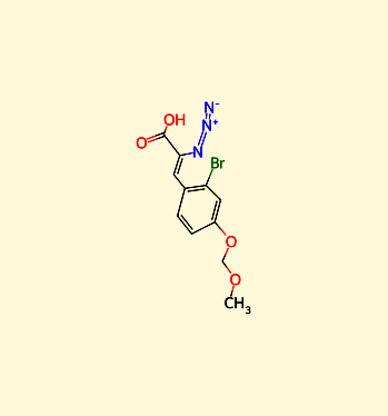 COCOc1ccc(C=C(N=[N+]=[N-])C(=O)O)c(Br)c1